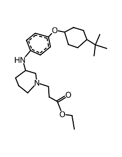 CCOC(=O)CCN1CCCC(Nc2ccc(OC3CCC(C(C)(C)C)CC3)cc2)C1